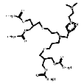 CCCCCCCC(=O)OCC(COCCCN(CCCOCC(COC(=O)CCCCCCC)COC(=O)CCCCCCC)Cc1cnn(CCN(C)C)c1)COC(=O)CCCCCCC